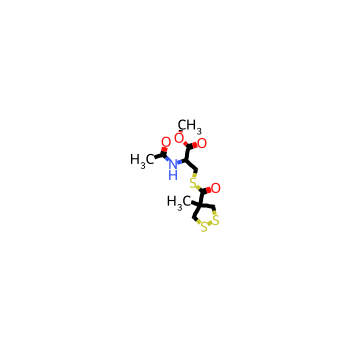 COC(=O)C(CSC(=O)C1(C)CSSC1)NC(C)=O